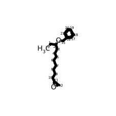 CCC(CCCCCCCCC1CO1)OCc1ccccc1